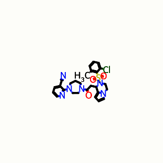 Cc1cccc(Cl)c1S(=O)(=O)N1CCn2cccc2C1CC(=O)N1CCCN(c2ncccc2C#N)CC1